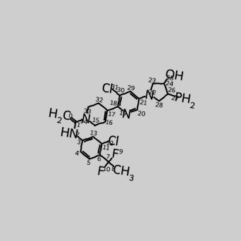 C=C(Nc1ccc(C(C)(F)F)c(Cl)c1)N1CC=C(c2ncc(N3CC(O)C(P)C3)cc2Cl)CC1